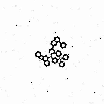 c1ccc(-c2cccc3ccc(-c4ccc(N(c5cccc([Si](c6ccccc6)(c6ccccc6)c6ccccc6)c5)c5cc6c7ccccc7oc6c6ccccc56)cc4)cc23)cc1